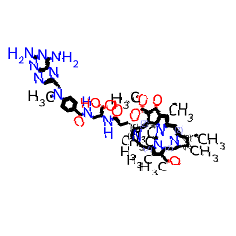 CC[C@H]1/C2=C/c3c(C)c4c5n3C(C)(C)n3/c(c(C)c(C(C)=O)/c3=C/C(=N2)[C@@H]1C)=C\C1=NC(=C\5C(C(=O)OC)C4=O)/[C@@H](CCC(=O)NC(CNC(=O)c2ccc(N(C)Cc3cnc4nc(N)nc(N)c4n3)cc2)C(=O)O)[C@@H]1C